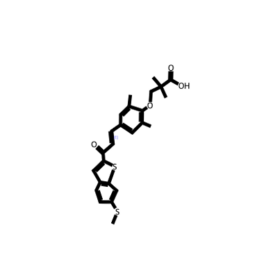 CSc1ccc2cc(C(=O)/C=C/c3cc(C)c(OCC(C)(C)C(=O)O)c(C)c3)sc2c1